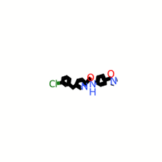 CN(C)C(=O)c1ccc(NC(=O)c2ccc(Cc3cccc(Cl)c3)cn2)cc1